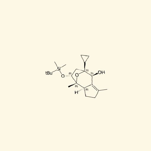 CC1=C2[C@@H](CC1)[C@@]1(C)O[C@](C3CC3)(C[C@H]1O[Si](C)(C)C(C)(C)C)[C@H]2O